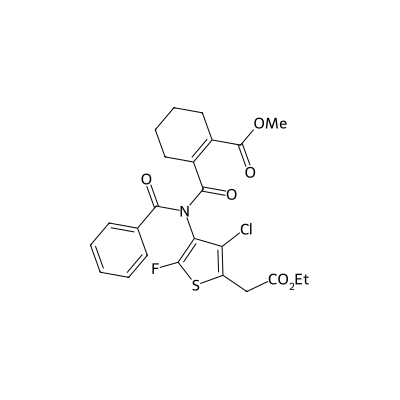 CCOC(=O)Cc1sc(F)c(N(C(=O)C2=C(C(=O)OC)CCCC2)C(=O)c2ccccc2)c1Cl